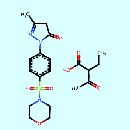 CC1=NN(c2ccc(S(=O)(=O)N3CCOCC3)cc2)C(=O)C1.CCC(C(C)=O)C(=O)O